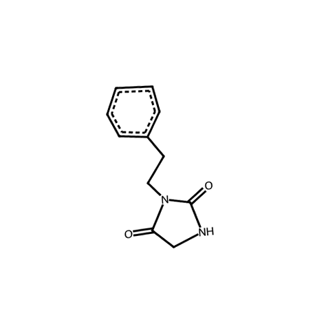 O=C1CNC(=O)N1CCc1ccccc1